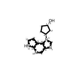 O[C@H]1CC[C@H](n2cnc3cnc4[nH]ccc4c32)C1